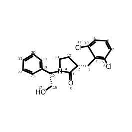 O=C1[C@@H](Cc2c(Cl)cccc2Cl)CCN1[C@H](CO)c1ccccc1